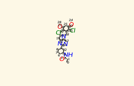 C=CC(=O)Nc1cccc(-c2ncc3c(ccn3Cc3c(Cl)c(OC)cc(OC)c3Cl)n2)c1